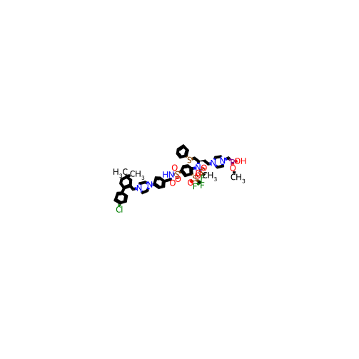 CCOP(O)CN1CCN(CC[C@H](CSc2ccccc2)N(c2ccc(S(=O)(=O)NC(=O)c3ccc(N4CCN(CC5=C(c6ccc(Cl)cc6)CCC(C)(C)C5)CC4)cc3)cc2S(=O)(=O)C(F)(F)F)S(C)(=O)=O)CC1